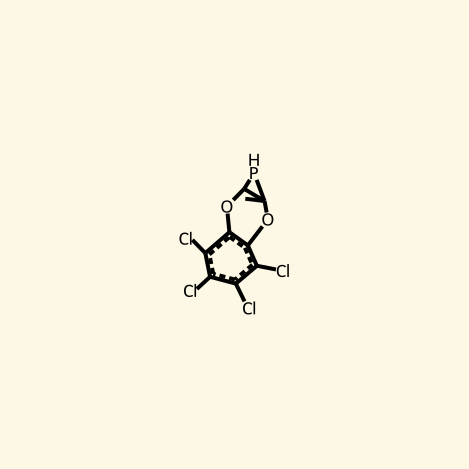 CC12Oc3c(Cl)c(Cl)c(Cl)c(Cl)c3OC1P2